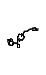 CC(C)(C)CCCN1CCN(C(=O)c2ccno2)CC1